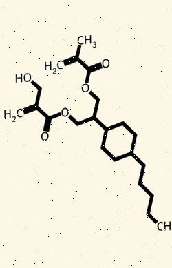 C=C(C)C(=O)OCC(COC(=O)C(=C)CO)C1CCC(CCCCC)CC1